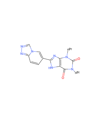 CCCn1c(=O)c2[nH]c(-c3ccc4nncn4c3)nc2n(CCC)c1=O